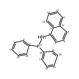 c1ccc(P(Nc2cccc3ccccc23)c2ccccc2)cc1